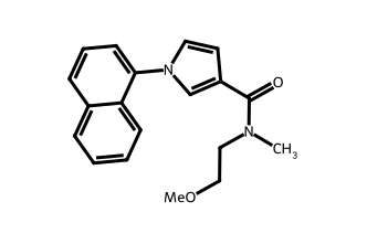 COCCN(C)C(=O)c1ccn(-c2cccc3ccccc23)c1